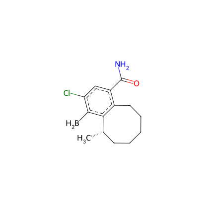 Bc1c(Cl)cc(C(N)=O)c2c1[C@@H](C)CCCCC2